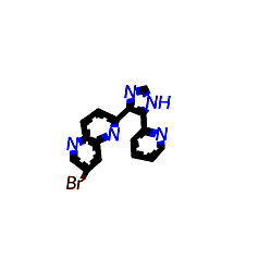 Brc1cnc2ccc(-c3nc[nH]c3-c3ccccn3)nc2c1